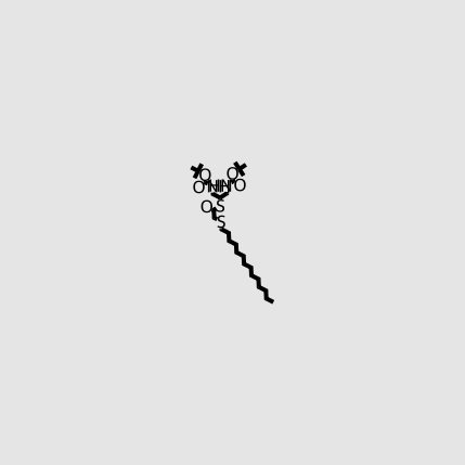 CCCCCCCCCCCCCCSCC(=O)SC(CNC(=O)OC(C)(C)C)CNC(=O)OC(C)(C)C